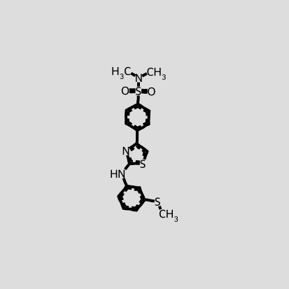 CSc1cccc(Nc2nc(-c3ccc(S(=O)(=O)N(C)C)cc3)cs2)c1